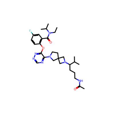 CCN(C(=O)c1cc(F)ccc1Oc1nncnc1N1CCC2(C1)CN(C(CCCNC(C)=O)C(C)C)C2)C(C)C